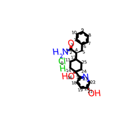 Cl.NC(=O)[C@@H](Cc1ccccc1)C1CCC(O)(c2ccc(O)cn2)CC1